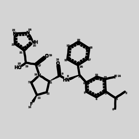 CC(C)c1ccc([C@@H](NC(=O)[C@@H]2C[C@@H](F)CN2C(=O)C(O)c2cnn[nH]2)c2ccccc2)cc1F